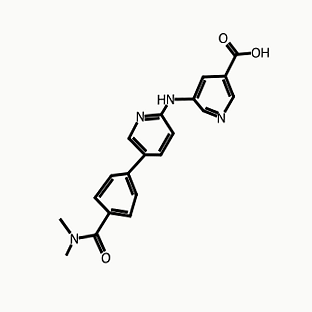 CN(C)C(=O)c1ccc(-c2ccc(Nc3cncc(C(=O)O)c3)nc2)cc1